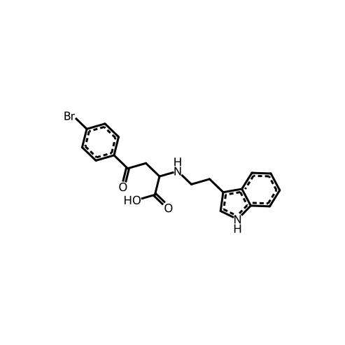 O=C(CC(NCCc1c[nH]c2ccccc12)C(=O)O)c1ccc(Br)cc1